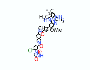 COc1cc2nc(C)nc(N[C@H](C)c3cc(N)cc(C(F)(F)F)c3)c2cc1C1CCC(C(=O)N(C)CC2CCC3(CC2)CCN(C(=O)c2ccc(Cl)c(N4CCC(=O)NC4=O)c2)CC3)CC1